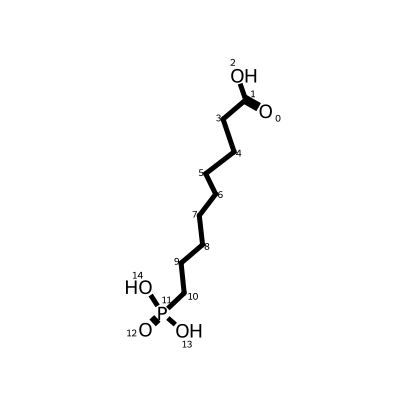 O=C(O)CCCCCCCCP(=O)(O)O